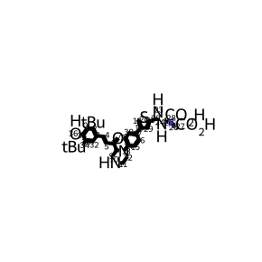 CC(C)(C)c1cc(C=CC(=O)C2CNCCN2c2ccc(-c3csc(C(=N)N/C(=C/C(=O)O)C(=O)O)c3)cc2)cc(C(C)(C)C)c1O